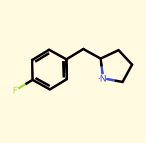 Fc1ccc(CC2CCC[N]2)cc1